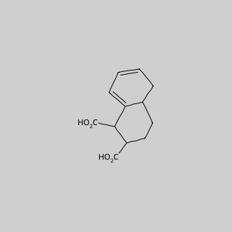 O=C(O)C1CCC2CC=CC=C2C1C(=O)O